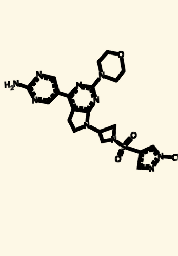 Cn1cc(S(=O)(=O)N2CC(N3CCc4c(-c5cnc(N)nc5)nc(N5CCOCC5)nc43)C2)cn1